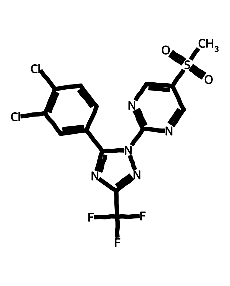 CS(=O)(=O)c1cnc(-n2nc(C(F)(F)F)nc2-c2ccc(Cl)c(Cl)c2)nc1